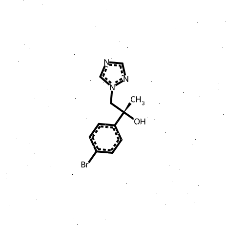 C[C@](O)(Cn1cncn1)c1ccc(Br)cc1